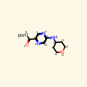 COC(=O)c1cnc(NC2CCOCC2)cn1